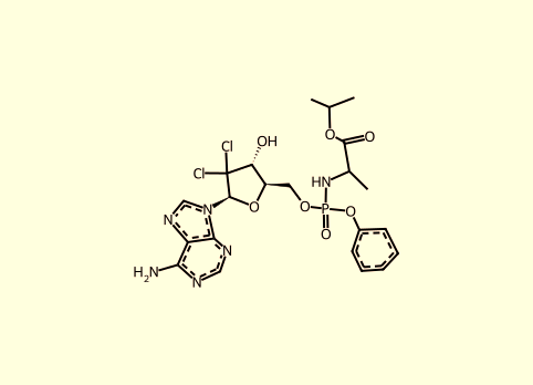 CC(C)OC(=O)C(C)NP(=O)(OC[C@H]1O[C@@H](n2cnc3c(N)ncnc32)C(Cl)(Cl)[C@@H]1O)Oc1ccccc1